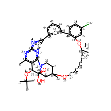 Cc1nc2nc3cn2c(c1[C@H](OC(C)(C)C)C(=O)O)N1CCC(C)(CC1)OCCCC[C@H](C)Oc1cc(F)ccc1-c1cccc-3c1